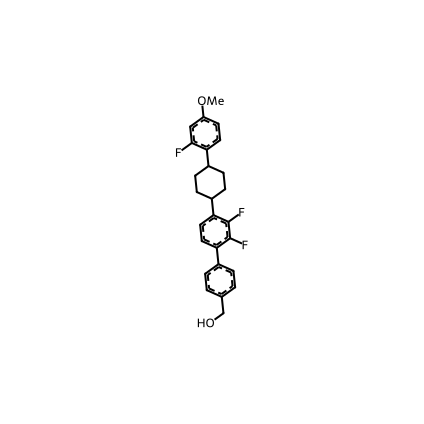 COc1ccc(C2CCC(c3ccc(-c4ccc(CO)cc4)c(F)c3F)CC2)c(F)c1